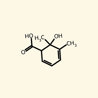 CC1=CC=CC(C(=O)O)C1(C)O